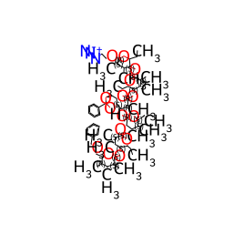 CCC1O[C@@H](OCCN=[N+]=[N-])[C@@H](C)C(C)[C@@H]1O[C@@H]1OC(CC)[C@@H](O[C@@H]2OC3COC(c4ccccc4)O[C@H]3C(O[C@H]3O[C@@H](CC)[C@@H](C)C(C)C3O[C@@H]3OC(CC)[C@@H](O[C@@H]4OC(COCc5ccccc5)[C@H](C)C(C)[C@@H]4C)C(C)[C@@H]3C)[C@H]2C)C(C)[C@@H]1C